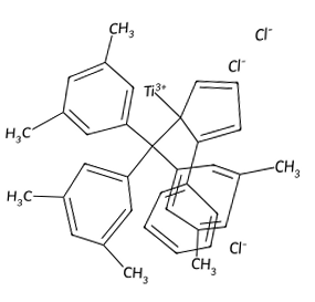 Cc1cc(C)cc(C(c2cc(C)cc(C)c2)(c2cc(C)cc(C)c2)[C]2([Ti+3])C=CC=C2c2ccccc2)c1.[Cl-].[Cl-].[Cl-]